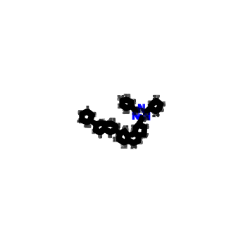 c1ccc(-c2ccc3cc(-c4ccc5ccc6ccc(-c7nc(-c8ccccc8)nc(-c8ccccc8)n7)cc6c5c4)ccc3c2)cc1